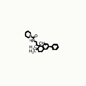 CC1(C)CCc2cc(-c3ccccc3)ccc2C1(C)CCNC(=O)N1CCCCC1